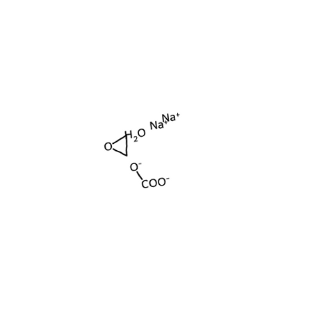 C1CO1.O.O=C([O-])[O-].[Na+].[Na+]